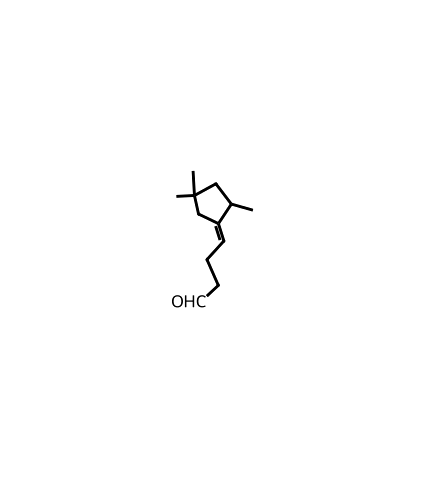 CC1CC(C)(C)CC1=CCCC=O